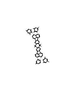 Cc1cc(C)c(B(c2c(C)cc(C)cc2C)c2ccc3c4c(cccc24)-c2cc4c(cc2-3)C(C)(C)c2cc3c(cc2C4(C)C)-c2ccc(B(c4c(C)cc(C)cc4C)c4c(C)cc(C)cc4C)c4cccc-3c24)c(C)c1